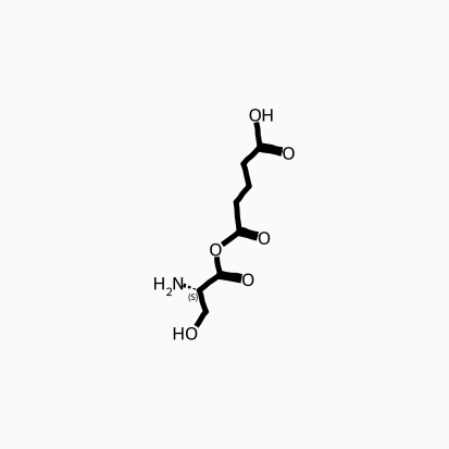 N[C@@H](CO)C(=O)OC(=O)CCCC(=O)O